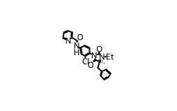 CCN1C(=O)N(c2ccc(NC(=O)c3ccccn3)cc2Cl)C(=O)[C@]1(C)Cc1ccccc1